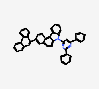 c1ccc(-c2cc(-n3c4ccccc4c4c5ccc(-c6cc7ccccc7c7ccccc67)cc5ccc43)nc(-c3ccccc3)n2)cc1